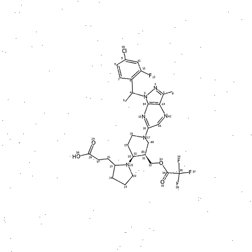 Cc1nn(C(C)c2ccc(Cl)cc2F)c2nc(N3CC[C@H](N4CCCC4CCC(=O)O)[C@H](COC(=O)C(F)(F)F)C3)cnc12